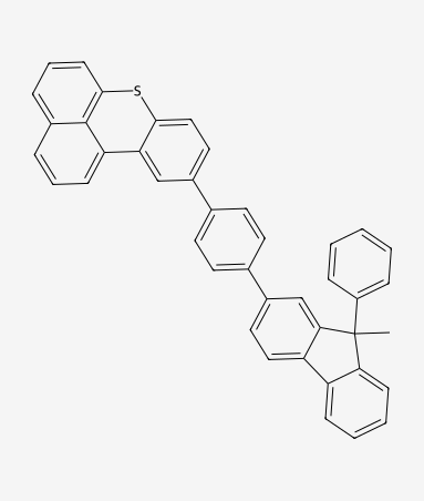 CC1(c2ccccc2)c2ccccc2-c2ccc(-c3ccc(-c4ccc5c(c4)-c4cccc6cccc(c46)S5)cc3)cc21